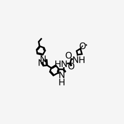 CCc1ccc(-n2cc(-c3ccc4[nH]cc(NC(=O)C(=O)N[C@H]5C[C@H](OC)C5)c4c3)cn2)cc1